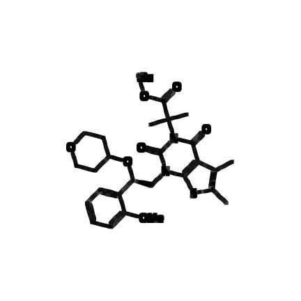 COc1ccccc1[C@H](Cn1c(=O)n(C(C)(C)C(=O)OC(C)(C)C)c(=O)c2c(C)c(C)sc21)OC1CCOCC1